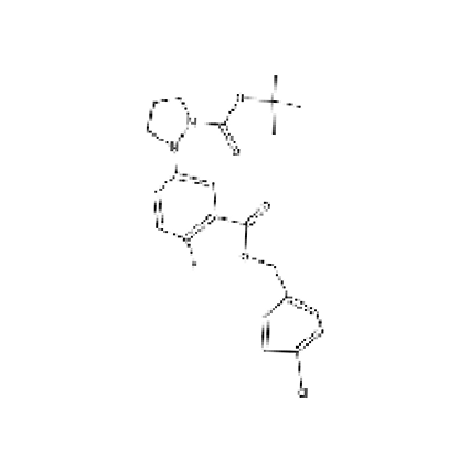 CC(C)(C)OC(=O)N1CCCN1c1ccc(F)c(C(=O)OCc2ccc(Cl)cc2)c1